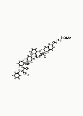 COCCOCOc1ccc2cc(C(=O)N(C)Cc3cccc(-c4ccc(Nc5ccccc5C(=O)N(C)Cc5ccccc5)cc4)c3)ccc2c1